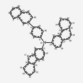 c1ccc2cc(-c3ccc(N(c4ccc5c(c4)sc4ccccc45)c4ccc5ccc6ccccc6c5c4)cc3)ccc2c1